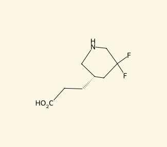 O=C(O)CC[C@@H]1CNCC(F)(F)C1